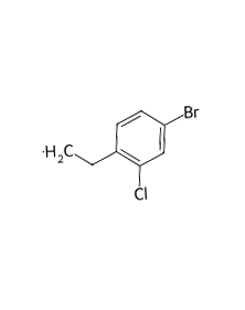 [CH2]Cc1ccc(Br)cc1Cl